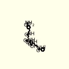 NS(=O)(=O)c1ccc(CCNC(=O)CC[C@H](NC(=O)NC(CCCCNC(=O)c2cccc(I)c2)C(=O)O)C(=O)O)cc1